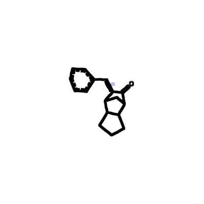 O=C1/C(=C/c2ccccc2)C2CC1C1CCCC21